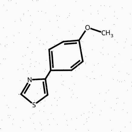 COc1ccc(-c2cs[c]n2)cc1